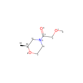 COCC(=O)N1CCO[C@@H](C)C1